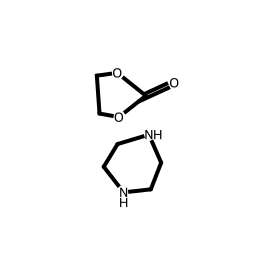 C1CNCCN1.O=C1OCCO1